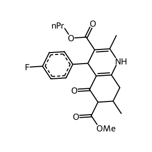 CCCOC(=O)C1=C(C)NC2=C(C(=O)C(C(=O)OC)C(C)C2)C1c1ccc(F)cc1